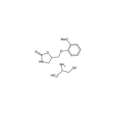 COc1ccccc1OCC1CNC(=O)O1.NC(CS)C(=O)O